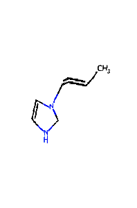 CC=CN1C=CNC1